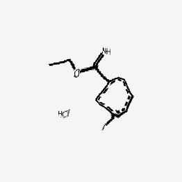 CCOC(=N)c1cccc(I)c1.Cl